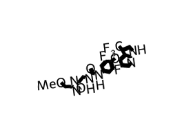 COCc1noc(CNC(=O)Nc2cc(F)c(Oc3ccnc4[nH]cc(C(F)(F)F)c34)c(F)c2)n1